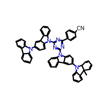 CC12C=CC=CC1N(c1ccc3c(c1)c1ccccc1n3-c1nc(-c3ccc(C#N)cc3)nc(-n3c4ccccc4c4cc(-n5c6ccccc6c6ccccc65)ccc43)n1)c1ccccc12